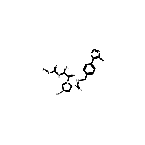 Cc1ncsc1-c1ccc(CNC(=O)[C@@H]2C[C@@H](O)CN2C(=O)C(NC(=O)OC(C)(C)C)C(C)(C)C)cc1